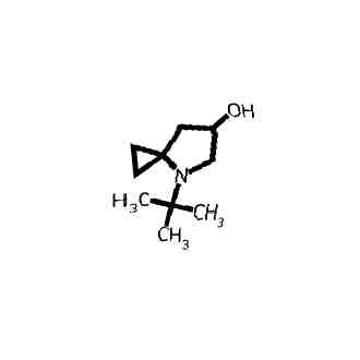 CC(C)(C)N1CC(O)CC12CC2